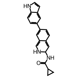 O=C(NC1C=c2ccc(-c3ccc4[nH]ccc4c3)cc2=CN1)C1CC1